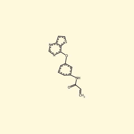 C=CC(=O)Nc1cccc(Oc2ncnc3ccsc23)c1